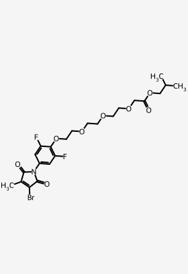 CC1=C(Br)C(=O)N(c2cc(F)c(OCCOCCOCCOCC(=O)OCC(C)C)c(F)c2)C1=O